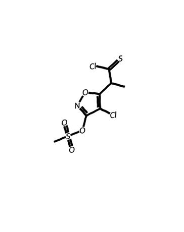 CC(C(=S)Cl)c1onc(OS(C)(=O)=O)c1Cl